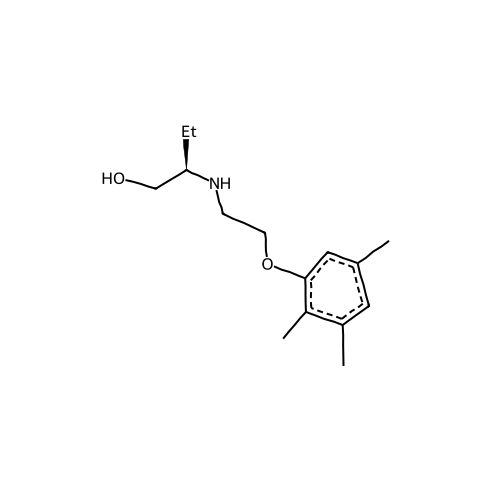 CC[C@H](CO)NCCOc1cc(C)cc(C)c1C